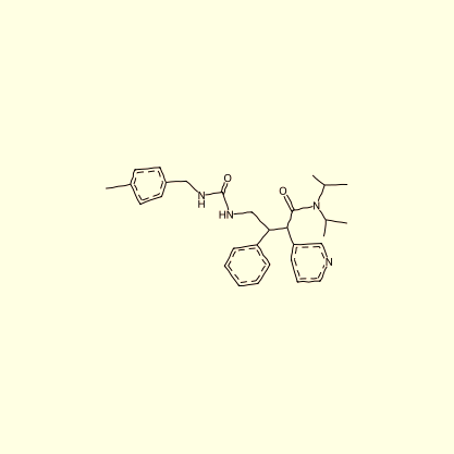 Cc1ccc(CNC(=O)NCC(c2ccccc2)C(C(=O)N(C(C)C)C(C)C)c2cccnc2)cc1